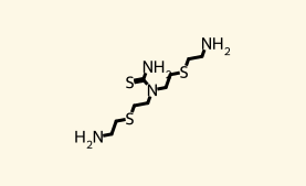 NCCSCCN(CCSCCN)C(N)=S